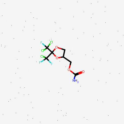 NC(=O)OCC1COC(C(F)(F)Cl)(C(F)(Cl)Cl)O1